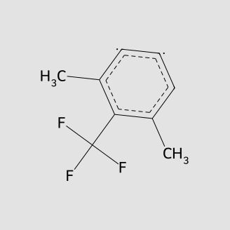 Cc1[c][c]cc(C)c1C(F)(F)F